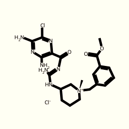 COC(=O)c1cccc(C[N@+]2(C)CCCC(NC(N)=NC(=O)c3nc(Cl)c(N)nc3N)C2)c1.[Cl-]